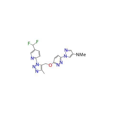 CNc1cnn(-c2ccc(OCc3c(C)nnn3-c3ccc(C(F)F)cn3)nn2)c1